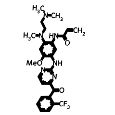 C=CC(=O)Nc1cc(Nc2nccc(C(=O)c3ccccc3C(F)(F)F)n2)c(OC)cc1N(C)CCN(C)C